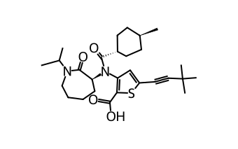 CC(C)N1CCCC[C@H](N(c2cc(C#CC(C)(C)C)sc2C(=O)O)C(=O)[C@H]2CC[C@H](C)CC2)C1=O